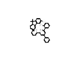 CC1(C)c2ccccc2-c2c1ccc1c2Oc2c(cccc2-c2cc(-c3ccccc3)cc(-c3ccccn3)n2)O1